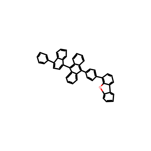 c1ccc(-c2ccc(-c3c4ccccc4c(-c4ccc(-c5cccc6c5oc5ccccc56)cc4)c4ccccc34)c3ccccc23)cc1